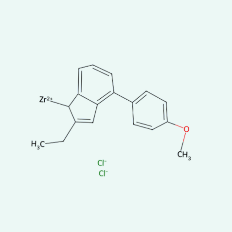 CCC1=Cc2c(-c3ccc(OC)cc3)cccc2[CH]1[Zr+2].[Cl-].[Cl-]